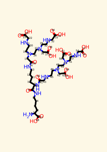 NC(CCCCNC(=O)C(CCCCNC(=O)CN(CCNCC(=O)O)CCN(CCNCC(=O)O)CC(=O)O)NC(=O)CNCCN(CCN(CCNCC(=O)O)CC(=O)O)CC(=O)O)C(=O)O